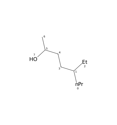 CCCC(CC)CCC(C)O